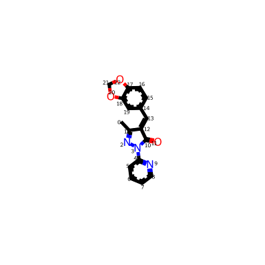 CC1=NN(c2ccccn2)C(=O)C1=Cc1ccc2c(c1)OCO2